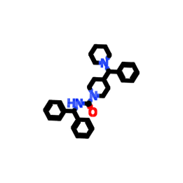 O=C(NC(c1ccccc1)c1ccccc1)N1CCC(C(c2ccccc2)N2CCCCC2)CC1